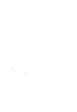 c1ccc(-n2c(-c3ccc(-c4cccc5c4oc4ccccc45)cc3)nc3ccccc32)cc1